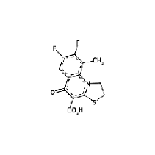 Cc1c(F)c(F)cc2c(=O)c(C(=O)O)c3n(c12)CCS3